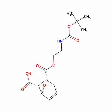 CC(C)(C)OC(=O)NCCOC(=O)[C@@H]1C2C=CC(O2)[C@@H]1C(=O)O